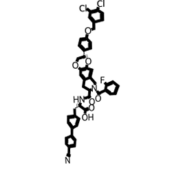 N#Cc1ccc(-c2ccc(C[C@H](NC(=O)C3Cc4cc5c(cc4CN3C(=O)c3ccccc3F)O[C@@H](c3ccc(OCc4ccc(Cl)c(Cl)c4)cc3)CO5)C(=O)O)cc2)cc1